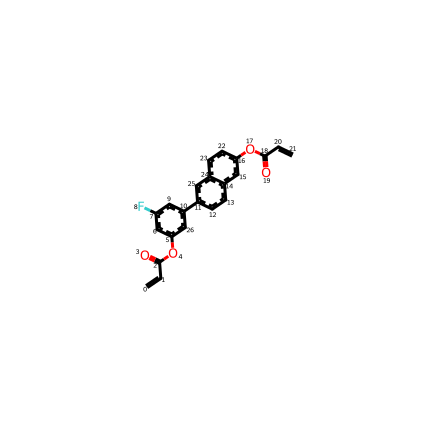 C=CC(=O)Oc1cc(F)cc(-c2ccc3cc(OC(=O)C=C)ccc3c2)c1